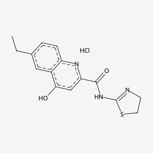 CCc1ccc2nc(C(=O)NC3=NCCS3)cc(O)c2c1.Cl